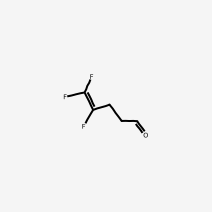 O=CCCC(F)=C(F)F